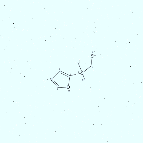 CS(C)(CS)c1cnco1